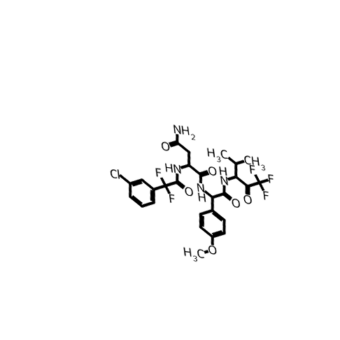 COc1ccc(C(NC(=O)C(CC(N)=O)NC(=O)C(F)(F)c2cccc(Cl)c2)C(=O)NC(C(=O)C(F)(F)F)C(C)C)cc1